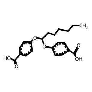 CCCCCCC(Oc1ccc(C(=O)O)cc1)Oc1ccc(C(=O)O)cc1